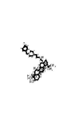 C=C(C)[C@@H]1CC[C@]2(CCNCCN3CCN(Cc4ccc(F)cc4)CC3)CC[C@]3(C)[C@H](CC[C@@H]4[C@@]5(C)CC[C@H](O)C(C)(C)[C@@H]5CC[C@]43C)[C@@H]12